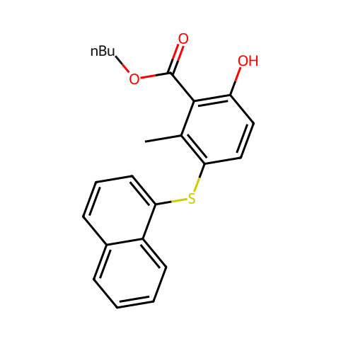 CCCCOC(=O)c1c(O)ccc(Sc2cccc3ccccc23)c1C